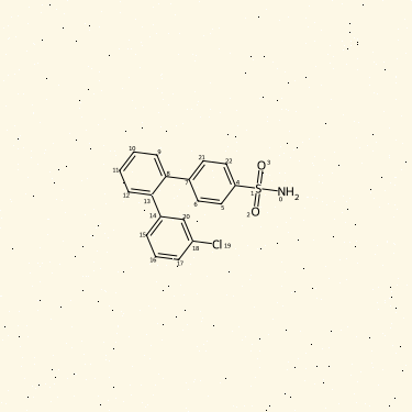 NS(=O)(=O)c1ccc(-c2ccccc2-c2cccc(Cl)c2)cc1